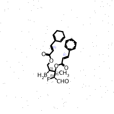 B[C@@H](COC(=O)/C=C/C1=CCCC=C1)[C@@](C)(OC(=O)/C=C/c1ccccc1)[C@H](F)C=O